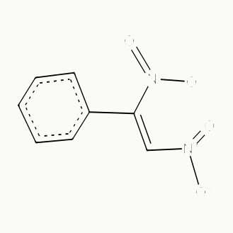 O=[N+]([O-])C=C(c1ccccc1)[N+](=O)[O-]